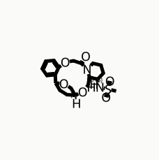 CS(=O)(=O)N[C@H]1CCCN2C(=O)COc3ccccc3C3CC[C@@H](CO3)OC[C@@H]12